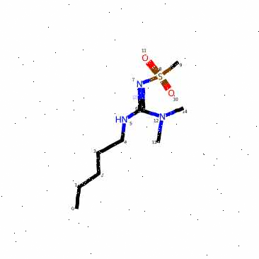 CCCCCN/C(=N/S(C)(=O)=O)N(C)C